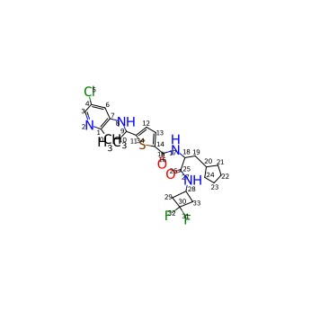 Cc1ncc(Cl)cc1NC(C)c1ccc(C(=O)NC(CC2CCCC2)C(=O)NC2CC(F)(F)C2)s1